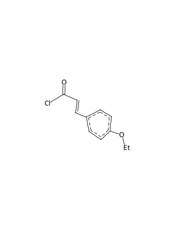 CCOc1ccc(C=CC(=O)Cl)cc1